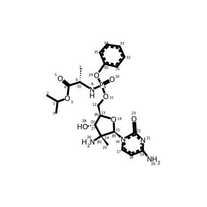 CC(C)OC(=O)[C@H](C)NP(=O)(OC[C@H]1O[C@@H](n2ccc(N)nc2=O)[C@](C)(N)[C@@H]1O)Oc1ccccc1